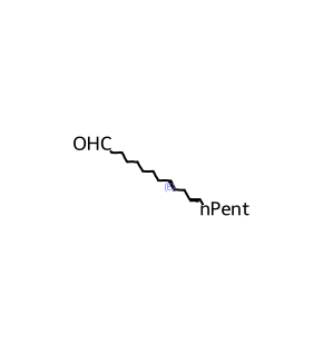 CCCCCC=CC/C=C/CCCCCCCC=O